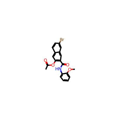 COc1ccccc1NC(=O)c1cc2cc(Br)ccc2cc1OC(C)=O